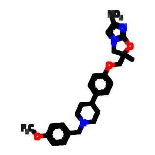 CC1(COc2ccc(C3CCN(Cc4ccc(OC(F)(F)F)cc4)CC3)cc2)Cn2cc([N+](=O)[O-])nc2O1